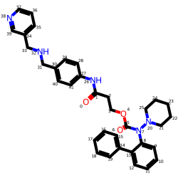 O=C(CCOC(=O)N(c1ccccc1-c1ccccc1)N1CC[CH]CC1)Nc1ccc(CNCc2cccnc2)cc1